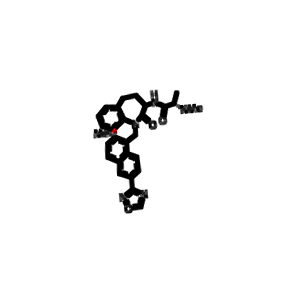 CN[C@@H](C)C(=O)NC1CCc2ccccc2N(Cc2c(OC)ccc3cc(-c4ncon4)ccc23)C1=O